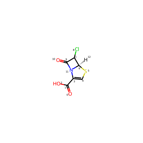 O=C(O)C1=CS[C@@H]2C(Cl)C(=O)N12